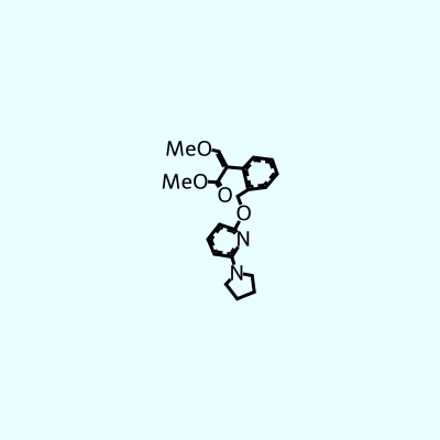 CO/C=C(\C(=O)OC)c1ccccc1COc1cccc(N2CCCC2)n1